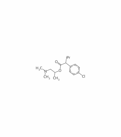 CC(CN(C)C)OC(=O)C(c1ccc(Cl)cc1)C(C)C